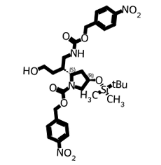 CC(C)(C)[Si](C)(C)O[C@@H]1C[C@@H](C(CCO)CNC(=O)OCc2ccc([N+](=O)[O-])cc2)N(C(=O)OCc2ccc([N+](=O)[O-])cc2)C1